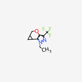 CCn1nc(C(F)(F)F)c2c1C1CC1CO2